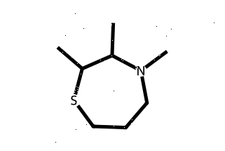 CC1SCCCN(C)C1C